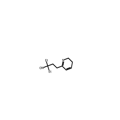 CCC(CC)(CCC1=NCCC=C1)N=O